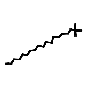 CCCCCCCCCCCCCCCCCCCCCCCCOS(C)(=O)=O